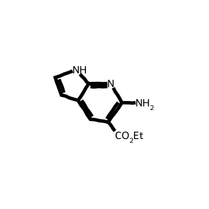 CCOC(=O)c1cc2cc[nH]c2nc1N